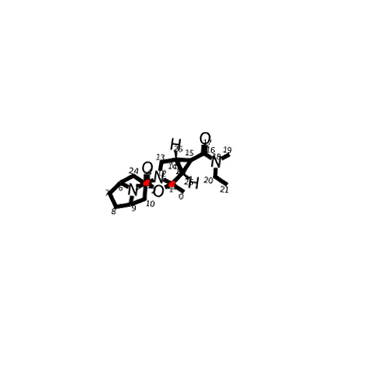 CCOC(=O)N1C2CCC1CC(N1C[C@@H]3C(C(=O)N(C)CC)[C@@H]3C1)C2